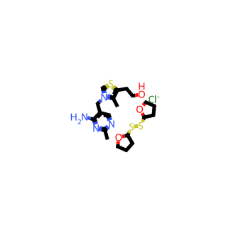 C1COC(SSC2CCCO2)C1.Cc1ncc(C[n+]2csc(CCO)c2C)c(N)n1.[Cl-]